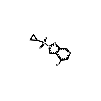 O=S(=O)(C1CC1)n1cc2c(Br)cncc2n1